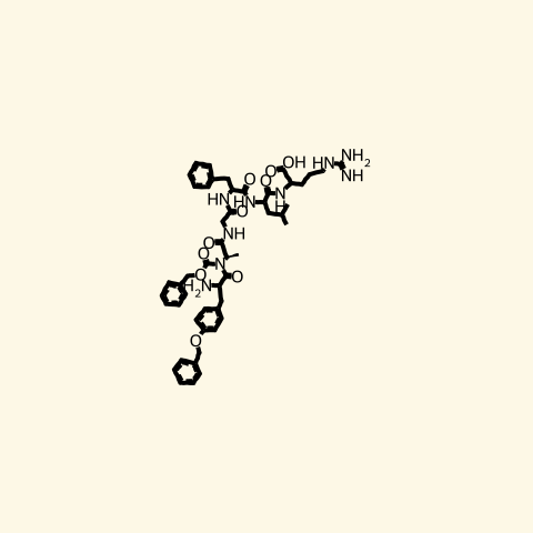 CC(C)CC(NC(=O)C(Cc1ccccc1)NC(=O)CNC(=O)[C@@H](C)N(C(=O)OCc1ccccc1)C(=O)C(N)Cc1ccc(OCc2ccccc2)cc1)C(=O)NC(CCCNC(=N)N)C(=O)O